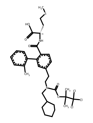 CSCC[C@H](NC(=O)c1ccc(CCN(CC2CCCCC2)C(=O)OC(C)(C)C(Cl)(Cl)Cl)cc1-c1ccccc1C)C(=O)O